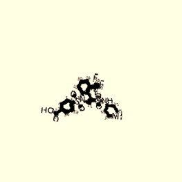 O=C(O)c1ccc(S(=O)(=O)n2cc(S(=O)(=O)NC3CCNCC3)c3c(C(F)(F)F)cccc32)cc1